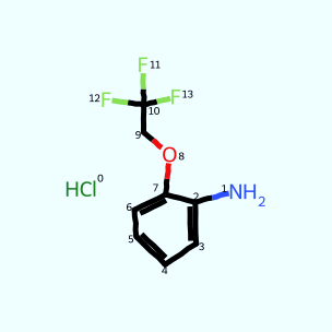 Cl.Nc1ccccc1OCC(F)(F)F